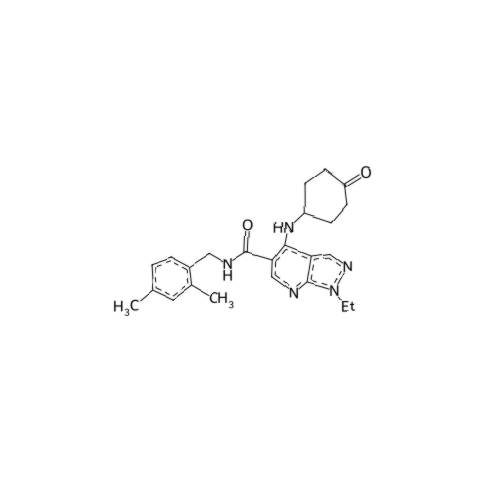 CCn1ncc2c(NC3CCC(=O)CC3)c(C(=O)NCc3ccc(C)cc3C)cnc21